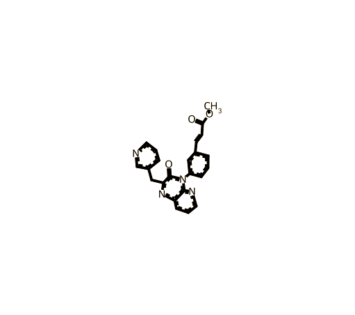 COC(=O)/C=C/c1cccc(-n2c(=O)c(Cc3cccnc3)nc3cccnc32)c1